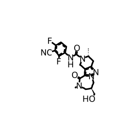 C[C@@H]1Cc2nn3c(c2CN1C(=O)Nc1ccc(F)c(C#N)c1F)C(=O)N(C)C[C@H](CO)C3